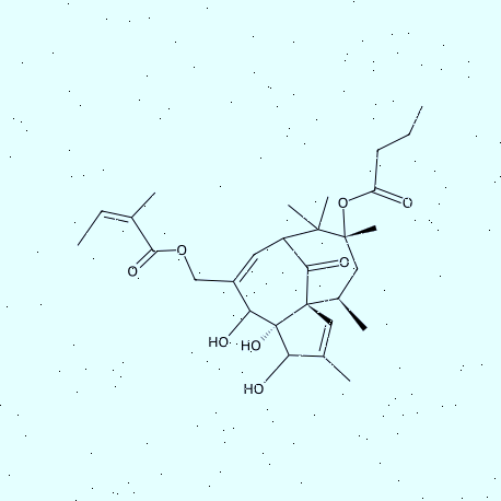 C/C=C(/C)C(=O)OCC1=CC2C(=O)[C@]3(C=C(C)C(O)[C@@]3(O)C1O)[C@H](C)C[C@@](C)(OC(=O)CCC)C2(C)C